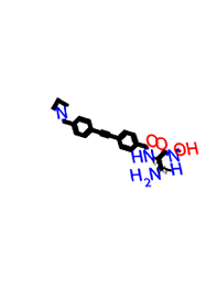 C[C@@H](N)[C@H](NC(=O)c1ccc(C#Cc2ccc(CN3CCC3)cc2)cc1)C(=O)NO